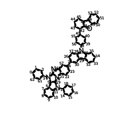 c1ccc(-n2c3c4ccccc4n(-c4ccccc4)c3n3c4ccc(-c5ccc6c(c5)c5ccccc5n6-c5ccc(-c6cccc7c6oc6ccccc67)cc5)cc4nc23)cc1